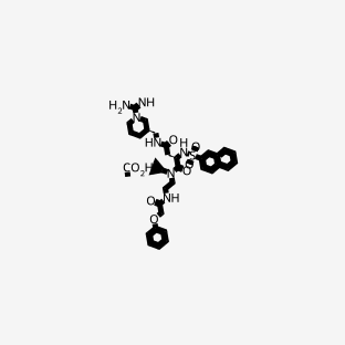 CC(=O)O.N=C(N)N1CCC[C@@H](CNC(=O)C[C@H](NS(=O)(=O)c2ccc3ccccc3c2)C(=O)N(CCNC(=O)COc2ccccc2)C2CC2)C1